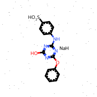 O=S(=O)(O)c1ccc(Nc2nc(O)nc(Oc3ccccc3)n2)cc1.[NaH]